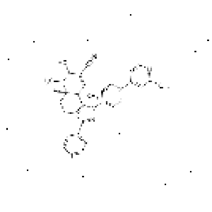 Cc1cc(-c2ccc(-n3nc(-c4ccncn4)c4c3[C@]3(C)C=C(C#N)C(O)[C@H](C)[C@H]3CC4)cc2)cnn1